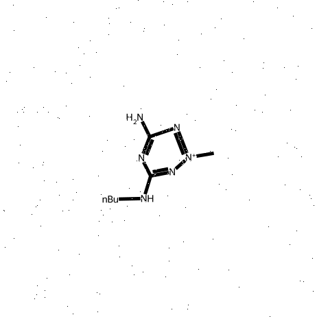 CCCCNc1nc(N)n[n+](C)n1